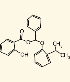 CC(C)c1ccccc1OC(OC(=O)c1ccccc1O)c1ccccc1